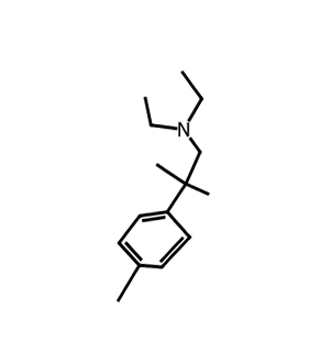 CCN(CC)CC(C)(C)c1ccc(C)cc1